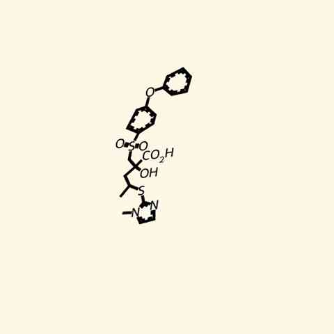 CC(CC(O)(CS(=O)(=O)c1ccc(Oc2ccccc2)cc1)C(=O)O)Sc1nccn1C